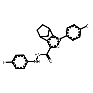 O=C(NNc1ccc(F)cc1)c1nn(-c2ccc(Cl)cc2)c2c1C1CCC2C1